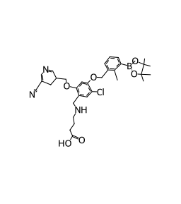 Cc1c(COc2cc(OCC3C=NC=C(C#N)C3)c(CNCCCC(=O)O)cc2Cl)cccc1B1OC(C)(C)C(C)(C)O1